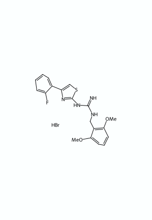 Br.COc1cccc(OC)c1CNC(=N)Nc1nc(-c2ccccc2F)cs1